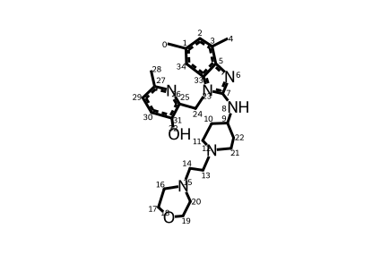 Cc1cc(C)c2nc(NC3CCN(CCN4CCOCC4)CC3)n(Cc3nc(C)ccc3O)c2c1